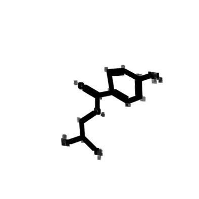 CCC(CC)COC(=O)c1ccc(N)cc1